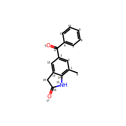 Cc1cc(C(=O)c2ccccc2)cc2c1NC(=O)C2